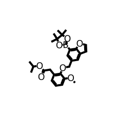 COc1cccc(CC(=O)OC(C)C)c1OCc1cc(B2OC(C)(C)C(C)(C)O2)c2occc2c1